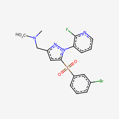 CN(Cc1cc(S(=O)(=O)c2cccc(Br)c2)n(-c2cccnc2F)n1)C(=O)O